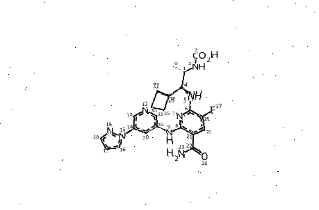 C[C@H](NC(=O)O)[C@@H](Nc1nc(Nc2cncc(-n3cccn3)c2)c(C(N)=O)cc1F)C1CCC1